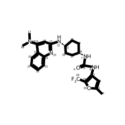 Cc1cc(NC(=O)N[C@H]2CC[C@@H](Nc3cc(N(C)C)c4ccccc4n3)CC2)c(C(F)(F)F)o1